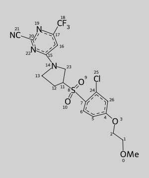 COCCOc1ccc(S(=O)(=O)C2CCN(c3cc(C(F)(F)F)nc(C#N)n3)C2)c(Cl)c1